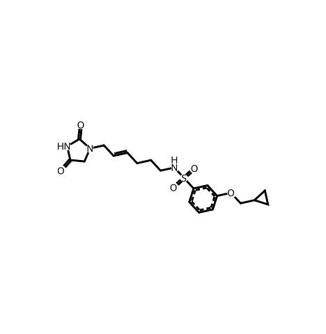 O=C1CN(CC=CCCCNS(=O)(=O)c2cccc(OCC3CC3)c2)C(=O)N1